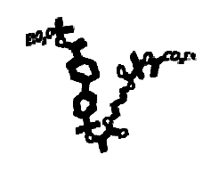 C=C(OC(C)(C)C(=O)OCCCCOC(=O)C(=C)OC(C)(C)c1ccc(-c2ccc(C(=C)OC(C)(C)C(=O)OCC)cc2)cc1)C(=O)OCC